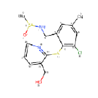 CC(C)(C)[S+]([O-])NCc1cc(C#N)cc(Cl)c1Sc1ncccc1CO